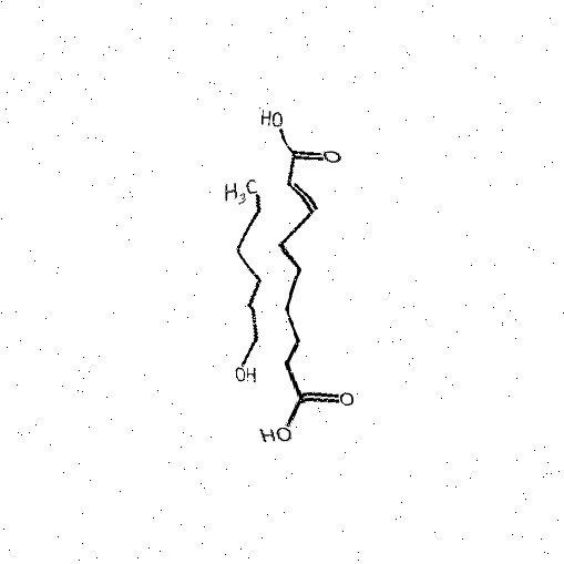 CCCCCCO.O=C(O)C=CCCCCCC(=O)O